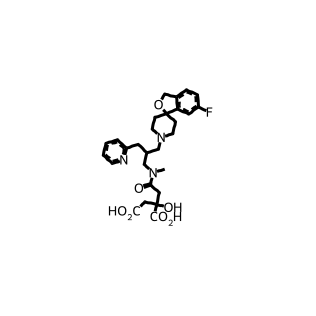 CN(CC(Cc1ccccn1)CN1CCC2(CC1)OCc1ccc(F)cc12)C(=O)CC(O)(CC(=O)O)C(=O)O